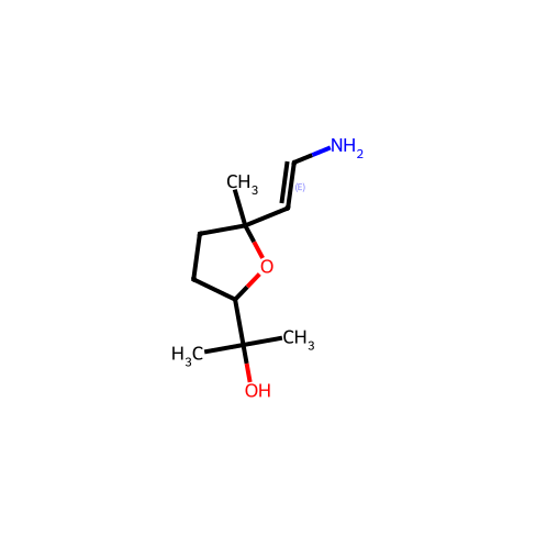 CC1(/C=C/N)CCC(C(C)(C)O)O1